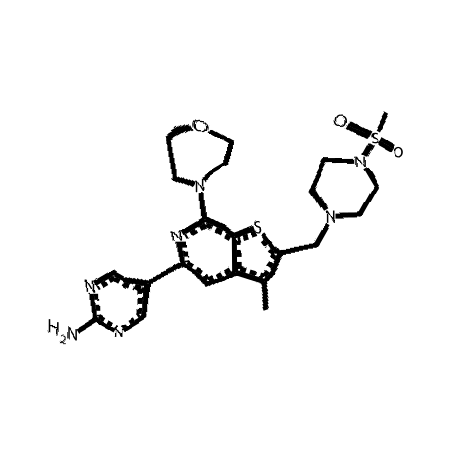 Cc1c(CN2CCN(S(C)(=O)=O)CC2)sc2c(N3CCOCC3)nc(-c3cnc(N)nc3)cc12